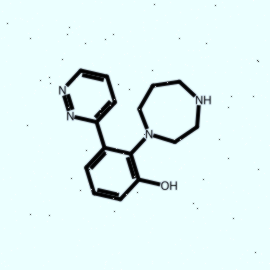 Oc1cccc(-c2cccnn2)c1N1CCCNCC1